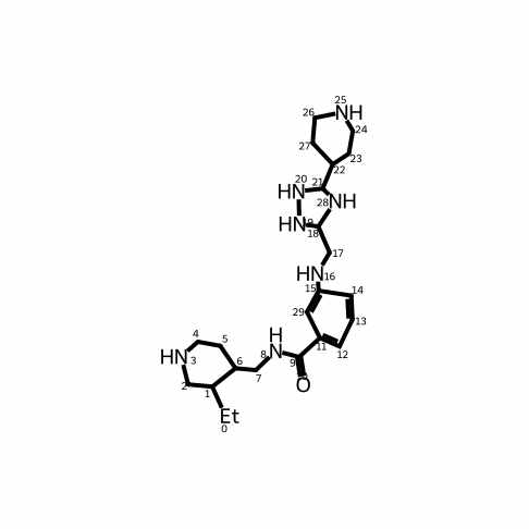 CCC1CNCCC1CNC(=O)c1cccc(NCC2NNC(C3CCNCC3)N2)c1